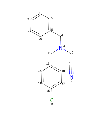 N#CCN(Cc1ccccc1)Cc1ccc(Cl)cc1